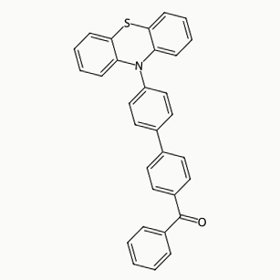 O=C(c1ccccc1)c1ccc(-c2ccc(N3c4ccccc4Sc4ccccc43)cc2)cc1